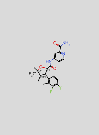 Cc1c([C@H]2[C@@H](C)[C@](C)(C(F)(F)F)O[C@H]2C(=O)Nc2ccnc(C(N)=O)c2)ccc(F)c1F